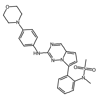 CN(c1ccccc1-c1ccc2cnc(Nc3ccc(N4CCOCC4)cc3)nn12)S(C)(=O)=O